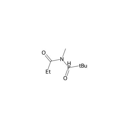 CCC(=O)N(C)[PH](=O)C(C)(C)C